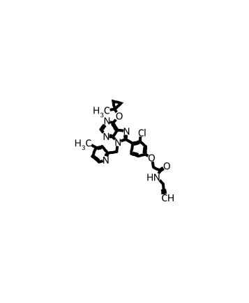 C#CCNC(=O)COc1ccc(-c2nc3c(OC4(C)CC4)ncnc3n2Cc2cc(C)ccn2)c(Cl)c1